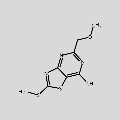 COCc1nc(C)c2sc(SC)nc2n1